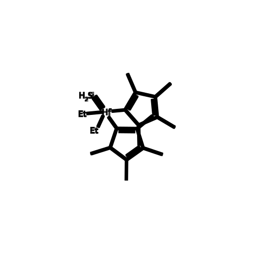 C[CH2][Hf](=[SiH2])([CH2]C)([C]1=C(C)C(C)=C(C)C1C)[C]1=C(C)C(C)=C(C)C1C